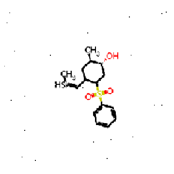 C/[SiH]=C\C1C[C@@H](C)[C@H](O)CC1S(=O)(=O)c1ccccc1